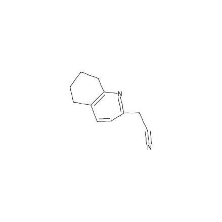 N#CCc1ccc2c(n1)CCCC2